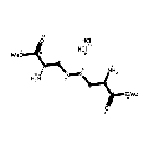 COC(=O)C(N)CSSC[C@H](N)C(=O)OC.Cl.Cl